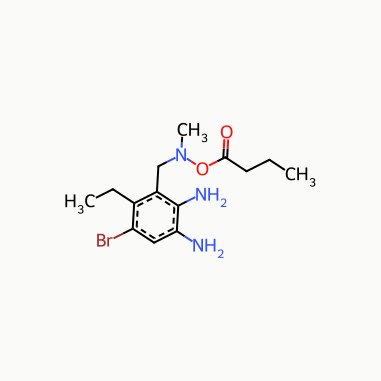 CCCC(=O)ON(C)Cc1c(N)c(N)cc(Br)c1CC